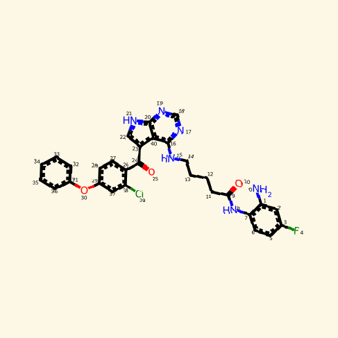 Nc1cc(F)ccc1NC(=O)CCCCNc1ncnc2[nH]cc(C(=O)c3ccc(Oc4ccccc4)cc3Cl)c12